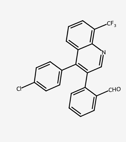 O=Cc1ccccc1-c1cnc2c(C(F)(F)F)cccc2c1-c1ccc(Cl)cc1